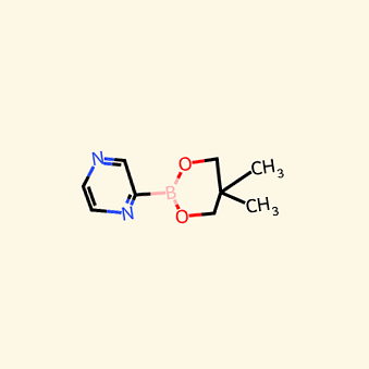 CC1(C)COB(c2cnccn2)OC1